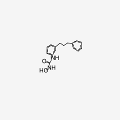 O=C(NO)Nc1cccc(CCCc2ccccc2)c1